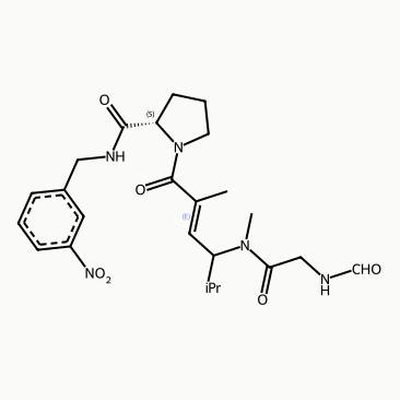 C/C(=C\C(C(C)C)N(C)C(=O)CNC=O)C(=O)N1CCC[C@H]1C(=O)NCc1cccc([N+](=O)[O-])c1